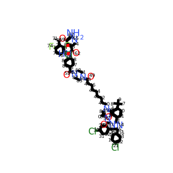 CCOc1cc(C(C)(C)C)ccc1C1=N[C@@](C)(c2ccc(Cl)cc2)[C@@](C)(c2ccc(Cl)cc2)N1C(=O)N1CCN(CCCCCCCCC(=O)N2CCN(C(=O)c3ccc(NC(=O)c4cnc(N)c(O[C@H](C)c5c(F)ccc(Cl)c5F)c4)cc3)CC2)CC1